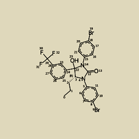 CCC[C@H]1N(c2ccc(Br)cc2)C(=O)N(c2ccc(Br)cc2)C1(O)c1cccc(C(F)(F)F)c1